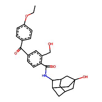 CCOc1ccc(C(=O)c2ccc(C(=O)NC3C4CC5CC3CC(O)(C5)C4)c(CO)c2)cc1